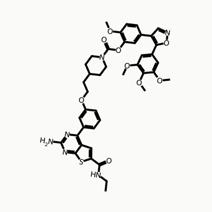 CCNC(=O)c1cc2c(-c3cccc(OCCC4CCN(C(=O)Oc5cc(-c6cnoc6-c6cc(OC)c(OC)c(OC)c6)ccc5OC)CC4)c3)nc(N)nc2s1